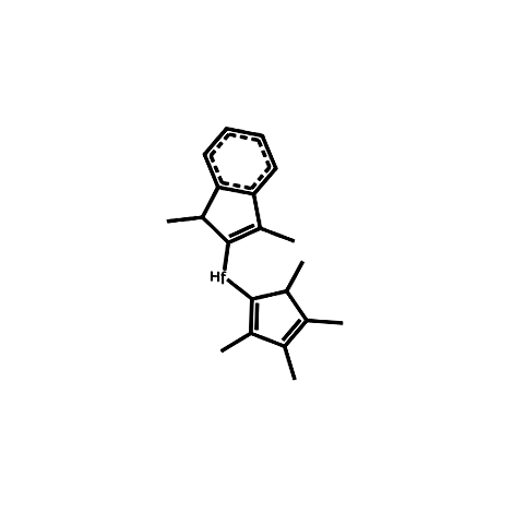 CC1=C(C)C(C)[C]([Hf][C]2=C(C)c3ccccc3C2C)=C1C